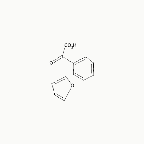 O=C(O)C(=O)c1ccccc1.c1ccoc1